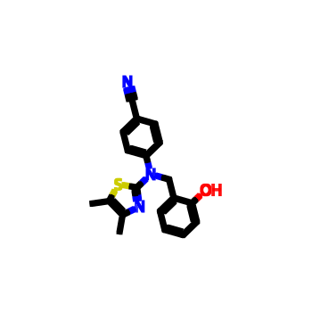 Cc1nc(N(Cc2ccccc2O)c2ccc(C#N)cc2)sc1C